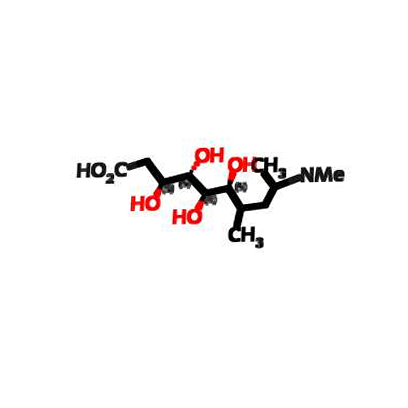 CNC(C)CC(C)[C@H](O)[C@@H](O)[C@@H](O)[C@@H](O)CC(=O)O